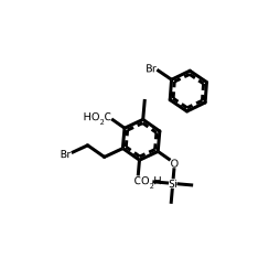 Brc1ccccc1.Cc1cc(O[Si](C)(C)C)c(C(=O)O)c(CCBr)c1C(=O)O